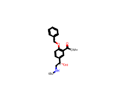 COC(=O)c1cc([C@H](O)CNC(C)(C)C)ccc1OCc1ccccc1